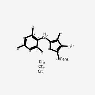 CCCCCC1=[C]([Ti+3])C(C)=C([SiH2]c2c(C)cc(C)cc2C)C1.[Cl-].[Cl-].[Cl-]